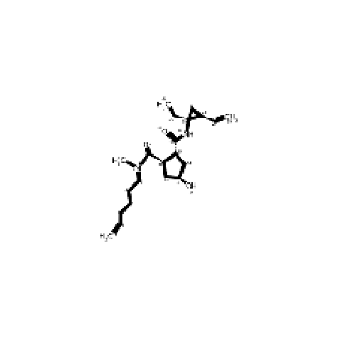 C=CCCCCN(C)C(=O)[C@@H]1C[C@H](O)C[C@H]1C(=O)N[C@]1(CC)C[C@H]1C=C